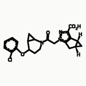 O=C(O)c1nn(CC(=O)N2CCC(Oc3ccccc3Cl)C3CC32)c2c1[C@@H]1C[C@@H]1C2